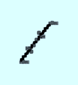 CCCCCCCCCCCCCCCCCC(=O)NCCOCCOCCNC(=O)CCCCCCCCCCCCCCCCC